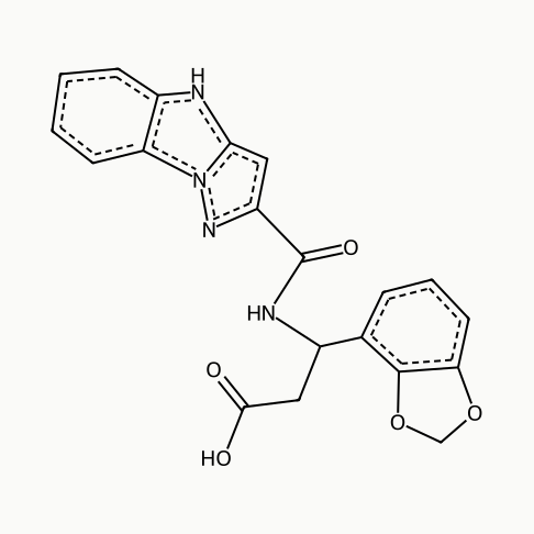 O=C(O)CC(NC(=O)c1cc2[nH]c3ccccc3n2n1)c1cccc2c1OCO2